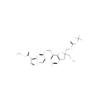 CCOC(=O)c1cnn2ccc(N[C@H](C)c3cc(F)cc4c3OC(CNC(=O)OC(C)(C)C)(COC)C4)nc12